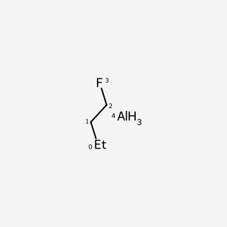 CCCCF.[AlH3]